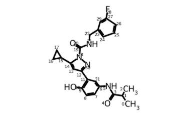 CC(C)C(=O)Nc1ccc(O)c(-c2cc(C3CC3)n(C(=O)NCc3cccc(F)c3)n2)c1